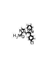 NC(=O)c1nccn1Cc1c(-c2ccc(Cl)cc2)nc2ccccn12